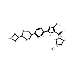 Cc1cc(-c2ccc(C3CCN(C4COC4)CC3)cc2)sc1C(=O)N1CC[C@H](N)C1